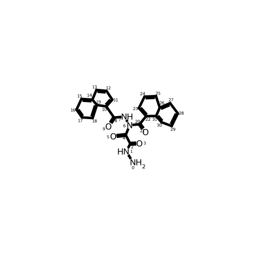 NNC(=O)C(=O)N(NC(=O)c1cccc2ccccc12)C(=O)c1cccc2ccccc12